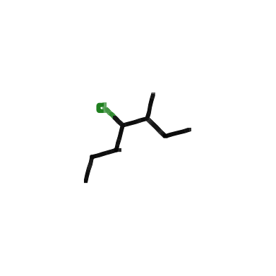 CC[CH]C(Cl)C(C)CC